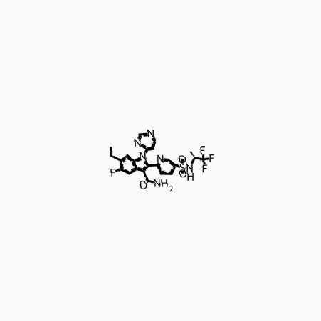 CCc1cc2c(cc1F)c(C(N)=O)c(-c1ccc(S(=O)(=O)N[C@@H](C)C(F)(F)F)cn1)n2-c1ccncn1